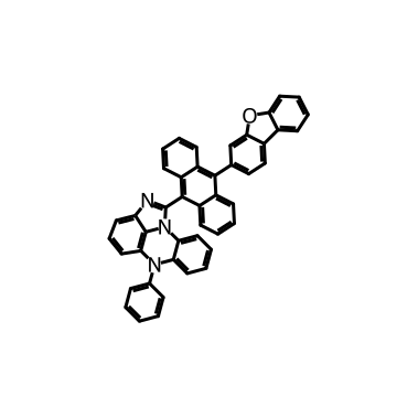 c1ccc(N2c3ccccc3-n3c(-c4c5ccccc5c(-c5ccc6c(c5)oc5ccccc56)c5ccccc45)nc4cccc2c43)cc1